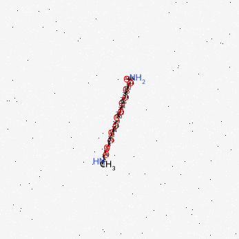 CNCCOCCOCCOCCOCCOCCOCCOCCOCCOCCOCCOC(N)=O